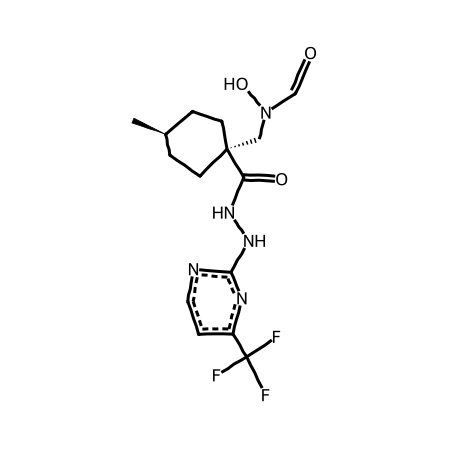 C[C@H]1CC[C@@](CN(O)C=O)(C(=O)NNc2nccc(C(F)(F)F)n2)CC1